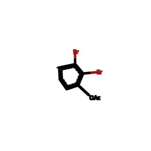 CC(=O)Oc1cc[c]c(Br)c1Br